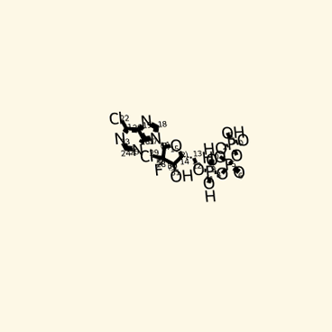 O=P(O)(O)OP(=O)(O)OP(=O)(O)OC[C@H]1O[C@@H](n2cnc3c(Cl)ncnc32)[C@](F)(Cl)[C@@H]1O